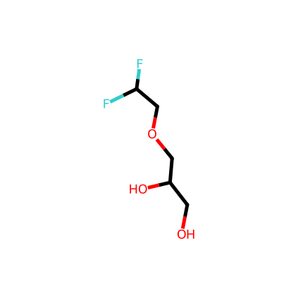 OCC(O)COCC(F)F